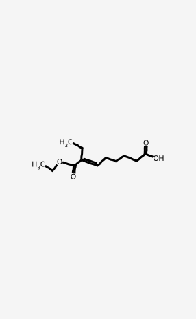 CCOC(=O)/C(=C/CCCCC(=O)O)CC